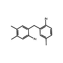 CC(=O)c1ccc(C)cc1Cc1cc(C)c(C)cc1C(C)=O